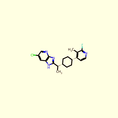 Cc1c(F)nccc1[C@H]1CC[C@@H](C(C)c2nc3ncc(Cl)cc3[nH]2)CC1